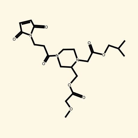 COCC(=O)OCC1CN(C(=O)CCN2C(=O)C=CC2=O)CCN1CC(=O)OCC(C)C